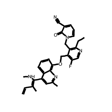 C=C/C(C)=C(\NC)c1cc(C)nc2c(OCc3c(F)cnc(CC)c3Cn3cccc(C#N)c3=O)cccc12